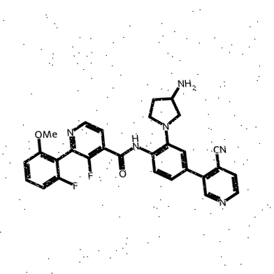 COc1cccc(F)c1-c1nccc(C(=O)Nc2ccc(-c3cnccc3C#N)cc2N2CCC(N)C2)c1F